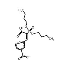 CCCCOP(=O)(OCCCC)C(=Cc1cccc([N+](=O)[O-])c1)C(C)=O